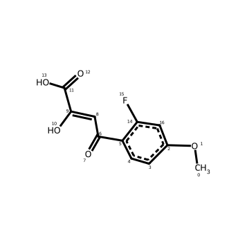 COc1ccc(C(=O)/C=C(\O)C(=O)O)c(F)c1